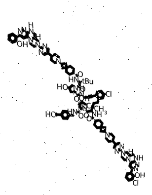 C#Cc1ccc(CNC(=O)[C@@H]2C[C@@H](O)CN2C(=O)[C@@H](NC(=O)[C@H]2CCC3(CC2)C[C@H](N2CCC(c4cnc(N5CCN6c7cc(-c8cccc(Cl)c8O)nnc7NC[C@H]6C5)nc4)CC2)C3)C(C)(C)CCc2cc(Cl)ccc2C#CCNC(=O)[C@@H]2C[C@@H](O)CN2C(=O)[C@@H](NC(=O)[C@H]2CCC3(CC2)C[C@H](N2CCC(c4cnc(N5CCN6c7cc(-c8ccccc8O)nnc7NC[C@H]6C5)nc4)CC2)C3)C(C)(C)C)cc1